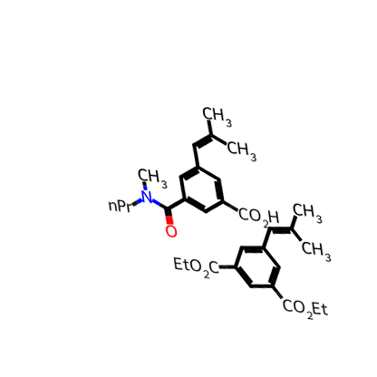 CCCN(C)C(=O)c1cc(C=C(C)C)cc(C(=O)O)c1.CCOC(=O)c1cc(C=C(C)C)cc(C(=O)OCC)c1